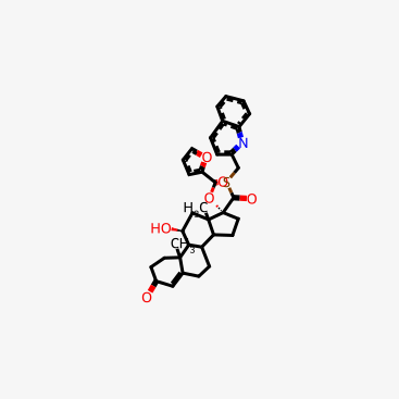 CC12CCC(=O)C=C1CCC1C2[C@@H](O)CC2(C)C1CC[C@]2(OC(=O)c1ccco1)C(=O)SCc1ccc2ccccc2n1